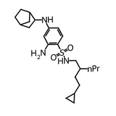 CCCC(CCC1CC1)CNS(=O)(=O)c1ccc(NC2CC3CCC2C3)cc1N